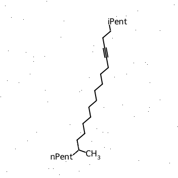 [CH2]CCCCC(C)CCCCCCCCCCC#CCCC(C)CC[CH2]